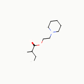 CCC(C)C(=O)OCCN1CCCCC1